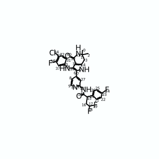 CC1(C)Cc2[nH]c(-c3ccnc(NC(=O)C(CC(F)F)c4ccc(F)cc4)c3)c(Nc3ccc(Cl)c(F)c3)c2C(=O)N1